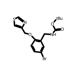 CC(C)(C)OC(=O)NCc1cc(Br)ccc1OCc1cscn1